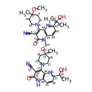 COC1(C)CCN(c2c(C#N)c(=O)n(COC3(C)CCN(c4c(C#N)c(=O)[nH]c5ccc(C(C)O)nc45)CC3)c3ccc(C(C)(C)O)nc23)CC1